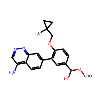 Nc1cnnc2cc(-c3cc(B(O)OC=O)ccc3OCC3(C(F)(F)F)CC3)ccc12